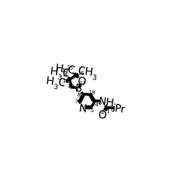 CC(C)C(=O)Nc1cncc(B2CC(C)(C)C(C)(C)O2)c1